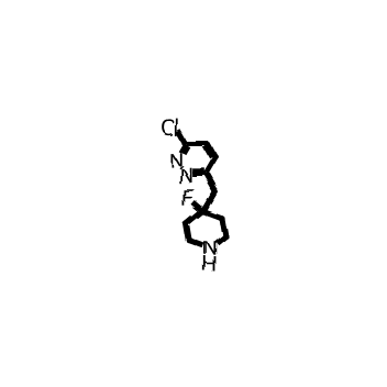 FC1(Cc2ccc(Cl)nn2)CCNCC1